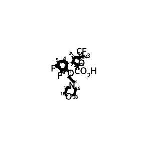 C[C@H]1[C@@H](c2ccc(F)c(F)c2OCCN2CCOCC2)[C@H](C(=O)O)O[C@@]1(C)C(F)(F)F